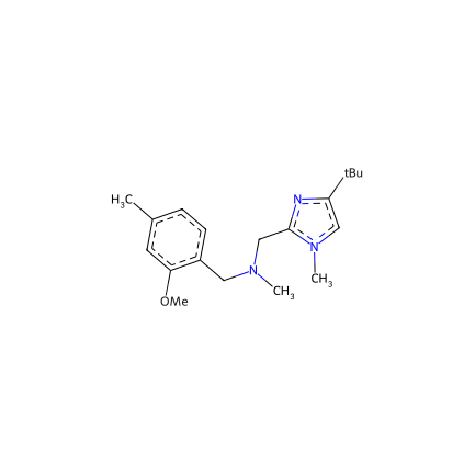 COc1cc(C)ccc1CN(C)Cc1nc(C(C)(C)C)cn1C